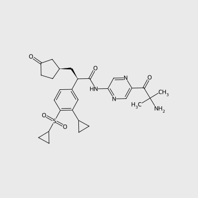 CC(C)(N)C(=O)c1cnc(NC(=O)[C@H](C[C@H]2CCC(=O)C2)c2ccc(S(=O)(=O)C3CC3)c(C3CC3)c2)cn1